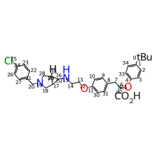 CC(C)(C)c1ccc(O[C@@H](Cc2ccc(OCCN[C@H]3C4CN(Cc5ccc(Cl)cc5)C[C@@H]43)cc2)C(=O)O)cc1